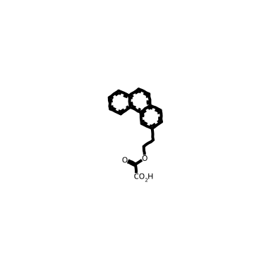 O=C(O)C(=O)OCCc1ccc2ccc3ccccc3c2c1